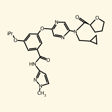 CC(C)Oc1cc(Oc2cnc(N(CC3CC3)C(=O)[C@@H]3CCCO3)cn2)cc(C(=O)Nc2ccn(C)n2)c1